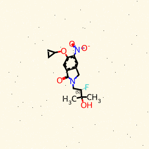 CC(C)(O)[C@@H](F)CN1Cc2cc([N+](=O)[O-])c(OC3CC3)cc2C1=O